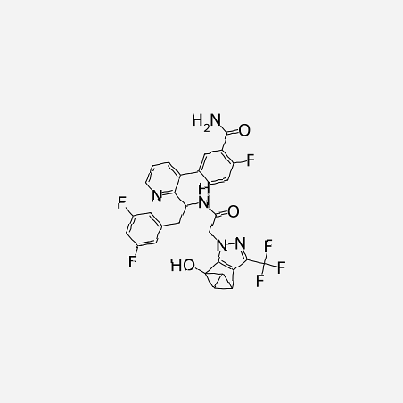 NC(=O)c1cc(-c2cccnc2C(Cc2cc(F)cc(F)c2)NC(=O)Cn2nc(C(F)(F)F)c3c2C2(O)C4C3C42)ccc1F